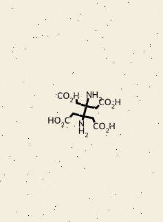 NC(CC(=O)O)(CC(=O)O)C(N)(CC(=O)O)CC(=O)O